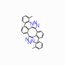 Cc1ccccc1-n1nnc2c1-c1c(C)cccc1-c1nnn(-c3c(C)cccc3C)c1-c1ccccc1-2